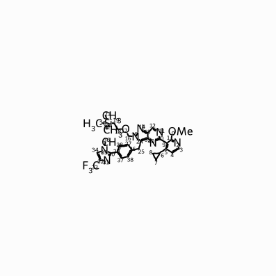 COc1nccc(C2CC2)c1-c1ncc2nn(COCC[Si](C)(C)C)c(Cc3ccc(-c4nc(C(F)(F)F)cn4C)cc3)c2n1